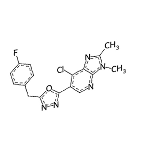 Cc1nc2c(Cl)c(-c3nnc(Cc4ccc(F)cc4)o3)cnc2n1C